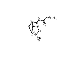 C=CC(=O)OC1C2CC3CC1CC(O)(C3)C2